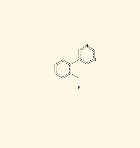 FCc1ccccc1-c1cn[c]nc1